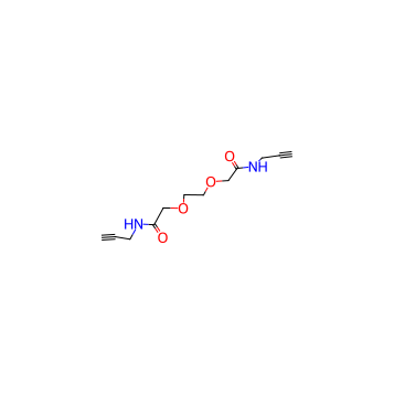 C#CCNC(=O)COCCOCC(=O)NCC#C